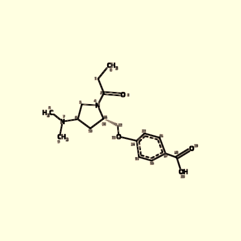 CCC(=O)N1CC(N(C)C)C[C@H]1COc1ccc(C(=O)O)cc1